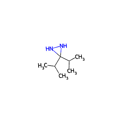 CC(C)C1(C(C)C)NN1